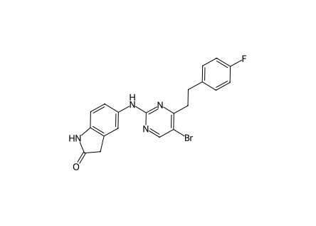 O=C1Cc2cc(Nc3ncc(Br)c(CCc4ccc(F)cc4)n3)ccc2N1